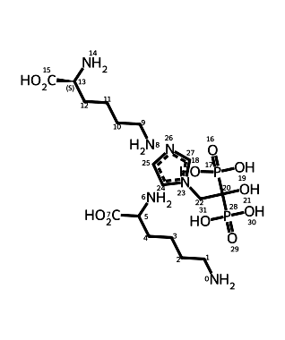 NCCCCC(N)C(=O)O.NCCCC[C@H](N)C(=O)O.O=P(O)(O)C(O)(Cn1ccnc1)P(=O)(O)O